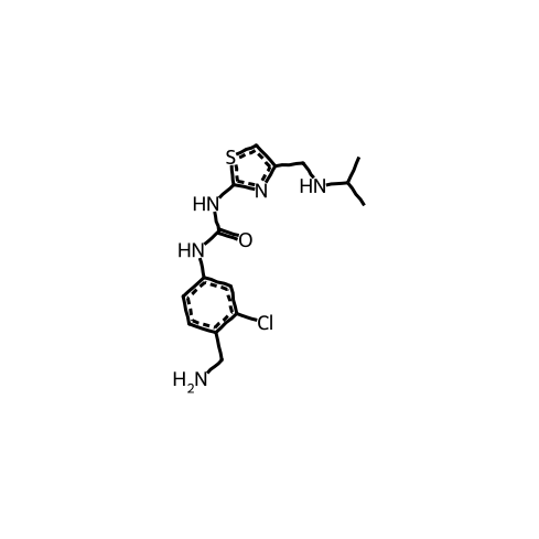 CC(C)NCc1csc(NC(=O)Nc2ccc(CN)c(Cl)c2)n1